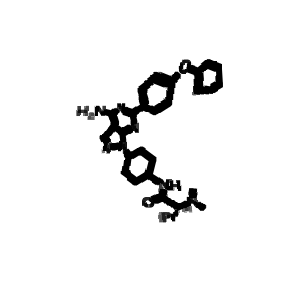 CC(C)[C@H](C(=O)NC1CCC(n2ncc3c(N)nc(-c4ccc(Oc5ccccc5)cc4)nc32)CC1)N(C)C